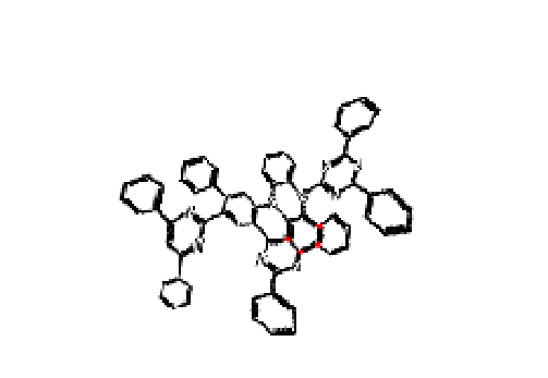 c1ccc(-c2cc(-c3ccccc3)nc(-c3cc(-c4nc(-c5ccccc5)nc(-c5ccccc5)n4)c(N4c5ccccc5N(c5nc(-c6ccccc6)nc(-c6ccccc6)n5)c5ccccc54)cc3-c3ccccc3)n2)cc1